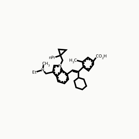 CCCC1(Cn2cc(CN(C)CC)c3cccc(/C=C(/c4ccc(C(=O)O)cc4C)C4CCCCC4)c32)CC1